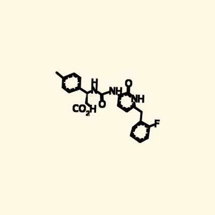 Cc1ccc([C@H](CC(=O)O)NC(=O)Nc2ccc(Cc3ccccc3F)[nH]c2=O)cc1